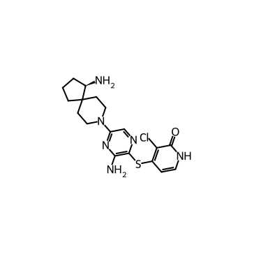 Nc1nc(N2CCC3(CCC[C@H]3N)CC2)cnc1Sc1cc[nH]c(=O)c1Cl